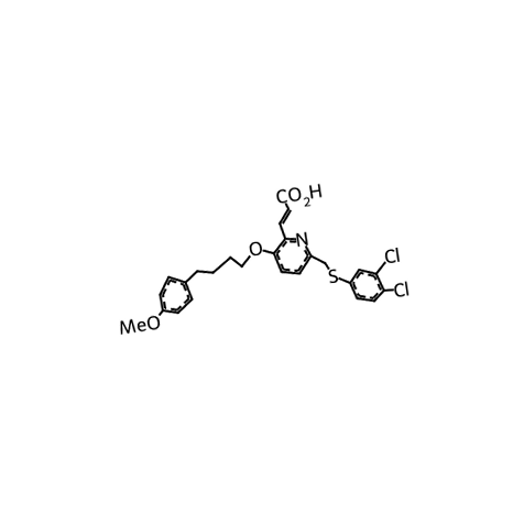 COc1ccc(CCCCOc2ccc(CSc3ccc(Cl)c(Cl)c3)nc2C=CC(=O)O)cc1